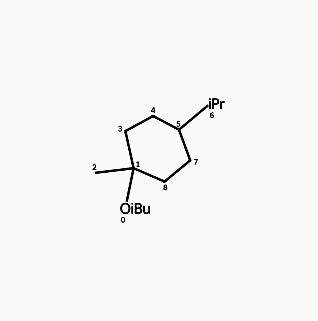 CC(C)COC1(C)CCC(C(C)C)CC1